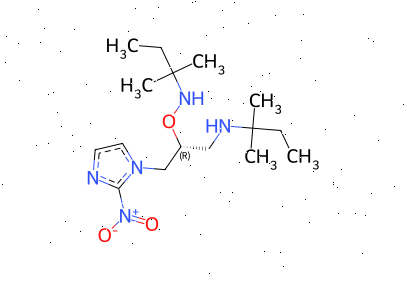 CCC(C)(C)NC[C@H](Cn1ccnc1[N+](=O)[O-])ONC(C)(C)CC